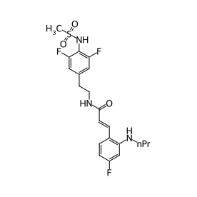 CCCNc1cc(F)ccc1C=CC(=O)NCCc1cc(F)c(NS(C)(=O)=O)c(F)c1